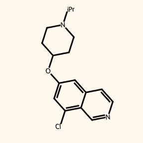 CC(C)N1CCC(Oc2cc(Cl)c3cnccc3c2)CC1